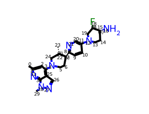 Cc1cc(N2CC[C@H](c3ccc(N4CC[C@@H](N)[C@H](F)C4)cn3)[C@@H](C)C2)c2cnn(C)c2n1